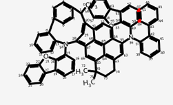 CC1c2ccc(cc2)-c2ccccc2N(c2cccc3c2oc2ccccc23)c2cc1c1ccc3c(N(c4ccccc4-c4ccccc4)c4cccc5c4oc4ccccc45)cc4c5c(cc2c1c35)C(C)(C)CC4